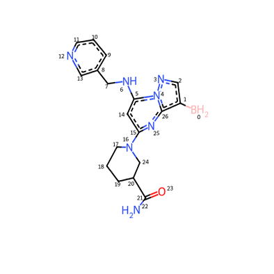 Bc1cnn2c(NCc3cccnc3)cc(N3CCCC(C(N)=O)C3)nc12